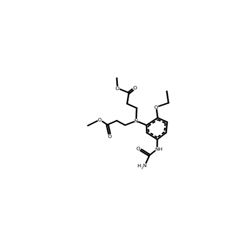 CCOc1ccc(NC(N)=O)cc1N(CCC(=O)OC)CCC(=O)OC